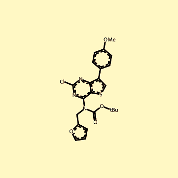 COc1ccc(-c2csc3c(N(Cc4ccco4)C(=O)OC(C)(C)C)nc(Cl)nc23)cc1